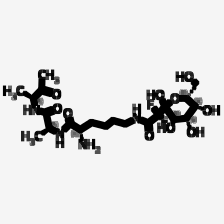 CC(=O)[C@H](C)NC(=O)[C@H](C)NC(=O)[C@@H](N)CCCCNC(=O)C(F)(F)C1(O)O[C@H](CO)[C@H](O)[C@H](O)[C@H]1O